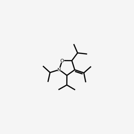 CC(C)=C1C(C(C)C)ON(C(C)C)C1C(C)C